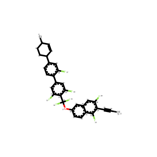 CCC1C=CC(c2ccc(-c3cc(F)c(C(F)(F)Oc4ccc5c(F)c(C#CC(F)(F)F)c(F)cc5c4)c(F)c3)c(F)c2)CC1